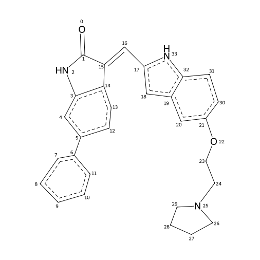 O=C1Nc2cc(-c3ccccc3)ccc2/C1=C\c1cc2cc(OCCN3CCCC3)ccc2[nH]1